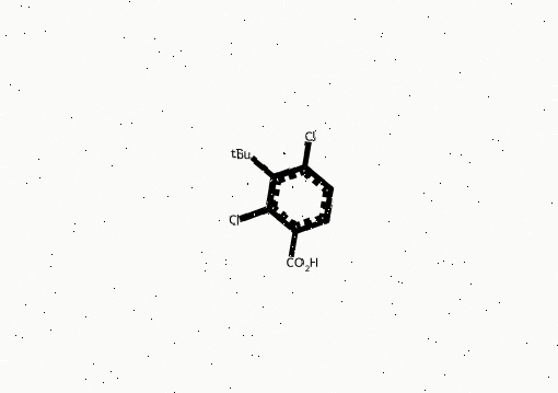 CC(C)(C)c1c(Cl)ccc(C(=O)O)c1Cl